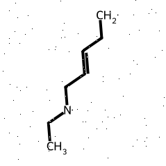 [CH2]CC=CC[N]CC